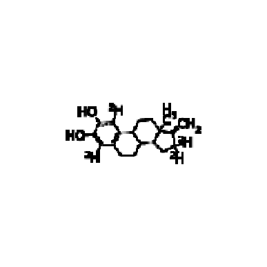 [2H]c1c(O)c(O)c([2H])c2c1CCC1C2CCC2(C)C(=C)C([2H])([2H])CC12